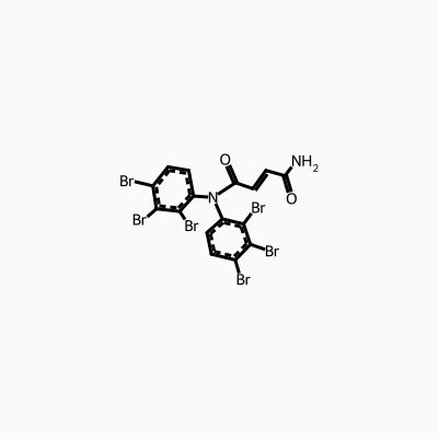 NC(=O)C=CC(=O)N(c1ccc(Br)c(Br)c1Br)c1ccc(Br)c(Br)c1Br